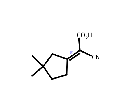 CC1(C)CC/C(=C(\C#N)C(=O)O)C1